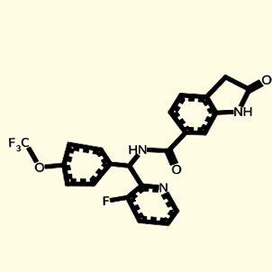 O=C1Cc2ccc(C(=O)NC(c3ccc(OC(F)(F)F)cc3)c3ncccc3F)cc2N1